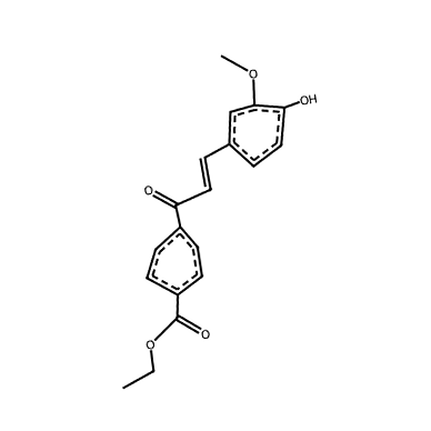 CCOC(=O)c1ccc(C(=O)/C=C/c2ccc(O)c(OC)c2)cc1